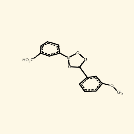 O=C(O)c1cccc(N2OOC(c3cccc(OC(F)(F)F)c3)O2)c1